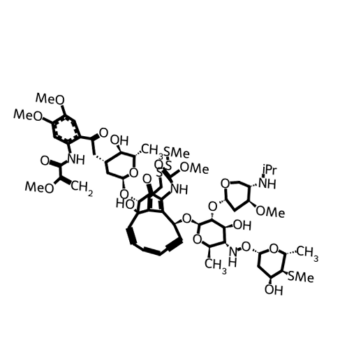 C=C(OC)C(=O)Nc1cc(OC)c(OC)cc1C(=O)C[C@H]1C[C@H](O[C@@H]2C(=O)C(NC(=O)OC)=C3/C(=C\CSSSC)[C@]2(O)C#C/C=C\C#C[C@@H]3O[C@@H]2O[C@H](C)[C@@H](NO[C@H]3C[C@H](O)[C@H](SC)[C@@H](C)O3)[C@H](O)[C@H]2O[C@H]2C[C@H](OC)[C@@H](NC(C)C)CO2)O[C@@H](C)[C@@H]1O